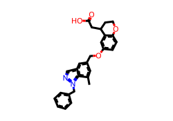 Cc1cc(COc2ccc3c(c2)C(CC(=O)O)CCO3)cc2cnn(Cc3ccccc3)c12